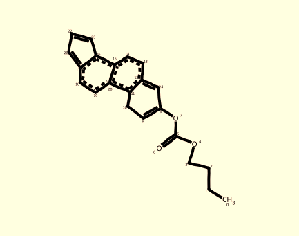 CCCCOC(=O)OC1=CCc2c(ccc3c4c(ccc23)=CC=C4)=C1